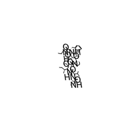 CCCNC(=O)[C@H](Cc1ccccc1)NC(=O)[C@H](C)[C@@H](OC)[C@@H]1CCCN1C(=O)C[C@@H](OC)[C@H]([C@@H](C)CC)N(C)C(=O)[C@@H](NC(=O)C(C)(C)NC)C(C)C